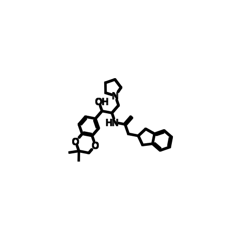 C=C(CC1Cc2ccccc2C1)NC(CN1CCCC1)C(O)c1ccc2c(c1)OCC(C)(C)O2